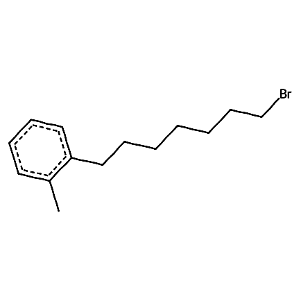 Cc1ccccc1CCCCCCCBr